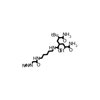 CCC(CC(CC(C(N)=O)C(C)(C)C)C(=O)NCCCCCNC(=O)CN=[N+]=[N-])C(N)=O